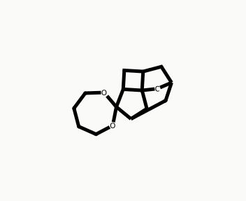 C1CCOC2(OC1)C1CC3CC4CC2C4(C3)C1